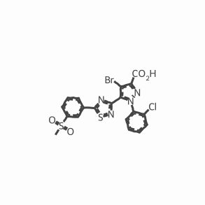 CS(=O)(=O)c1cccc(-c2nc(-c3c(Br)c(C(=O)O)nn3-c3ccccc3Cl)ns2)c1